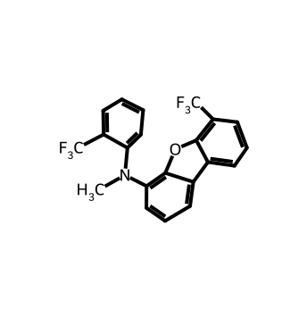 CN(c1ccccc1C(F)(F)F)c1cccc2c1oc1c(C(F)(F)F)cccc12